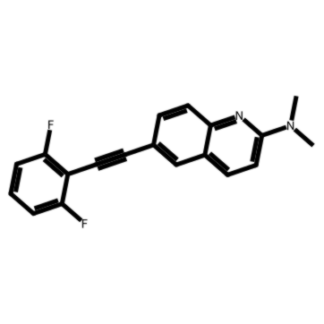 CN(C)c1ccc2cc(C#Cc3c(F)cccc3F)ccc2n1